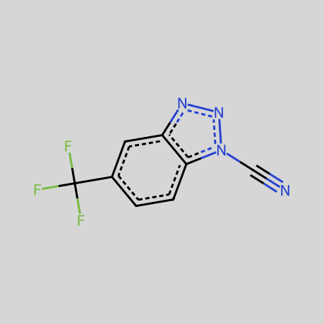 N#Cn1nnc2cc(C(F)(F)F)ccc21